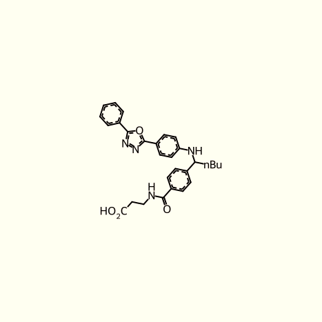 CCCCC(Nc1ccc(-c2nnc(-c3ccccc3)o2)cc1)c1ccc(C(=O)NCCC(=O)O)cc1